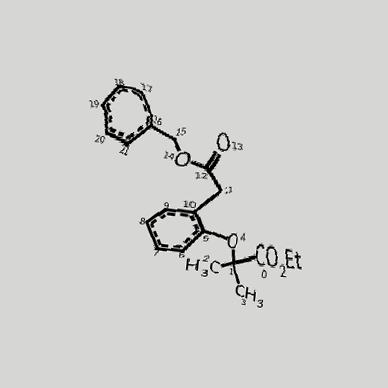 CCOC(=O)C(C)(C)Oc1ccccc1CC(=O)OCc1ccccc1